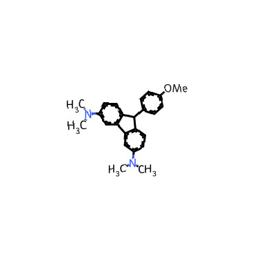 COc1ccc(C2c3ccc(N(C)C)cc3-c3cc(N(C)C)ccc32)cc1